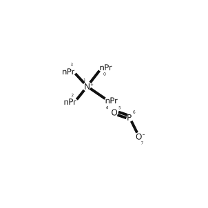 CCC[N+](CCC)(CCC)CCC.O=P[O-]